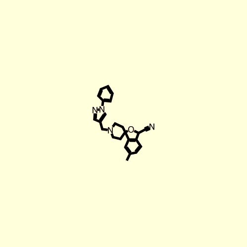 Cc1ccc2c(c1)C1(CCN(Cc3cnn(-c4ccccc4)c3)CC1)OC2C#N